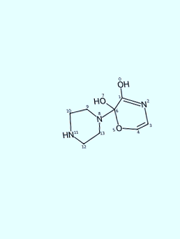 OC1=NC=COC1(O)N1CCNCC1